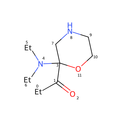 CCC(=O)C1(N(CC)CC)CNCCO1